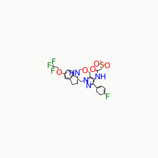 CS(=O)(=O)CC(=O)Nc1c(C2=CC=C(F)CC2)nn2c1COCN[C@]1(CCc3cc(OCC(F)(F)F)ccc31)C2